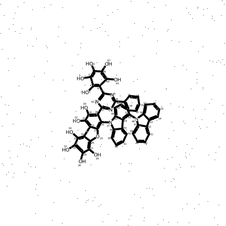 Oc1c(O)c(O)c(-c2nc(-c3ccccc3)nc(-c3c(O)c(O)c4c(oc5c(O)c(O)c(O)c(O)c54)c3-n3c4ccccc4c4c(-n5c6ccccc6c6ccccc65)cccc43)n2)c(O)c1O